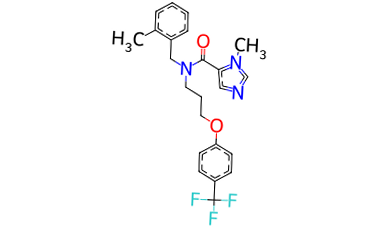 Cc1ccccc1CN(CCCOc1ccc(C(F)(F)F)cc1)C(=O)c1cncn1C